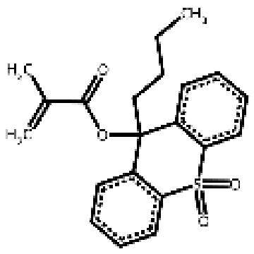 C=C(C)C(=O)OC1(CCCC)c2ccccc2S(=O)(=O)c2ccccc21